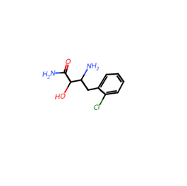 NC(=O)C(O)C(N)Cc1ccccc1Cl